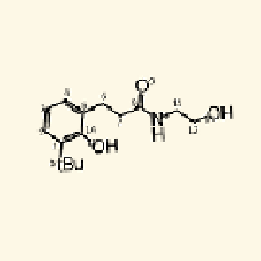 CC(C)(C)c1cccc(CCC(=O)NCCO)c1O